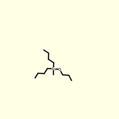 CCC[CH2][Sn]([CH3])([CH2]CCC)[O]CCC